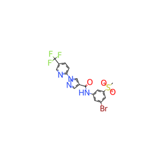 CS(=O)(=O)c1cc(Br)cc(NC(=O)c2cnn(-c3ccc(C(F)(F)F)cn3)c2)c1